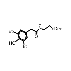 CCCCCCCCCCCCNC(=O)Cc1cc(CC)c(O)c(CC)c1